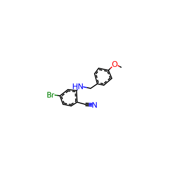 COc1ccc(CNc2cc(Br)ccc2C#N)cc1